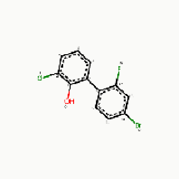 Oc1c(Cl)cccc1-c1ccc(Br)cc1F